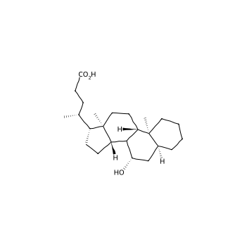 C[C@H](CCC(=O)O)[C@H]1CC[C@H]2C3[C@@H](O)C[C@@H]4CCCC[C@]4(C)[C@H]3CC[C@]12C